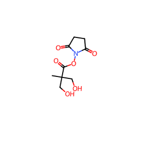 CC(CO)(CO)C(=O)ON1C(=O)CCC1=O